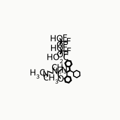 CN(C)CCN(C)[C@H]1COc2ccccc2-c2c(C3CCCCC3)c3ccc(C(=O)O)cc3n2C1.O=C(O)C(F)(F)F.O=C(O)C(F)(F)F